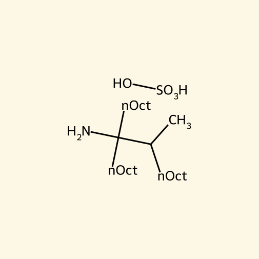 CCCCCCCCC(C)C(N)(CCCCCCCC)CCCCCCCC.O=S(=O)(O)O